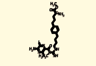 COC(=O)[C@H](N)CCCc1ccc(CCCCNC(=N)N(C)C(=O)c2nc(I)c(N)nc2N)cc1